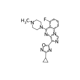 CN1CCN(c2nc3c(-c4nc(C5CC5)no4)ncn3c3cccc(F)c23)CC1